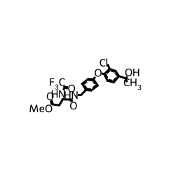 COC(=O)CC(NC(=O)C(F)(F)F)C(=O)NCc1ccc(Oc2ccc(C(C)O)cc2Cl)cc1